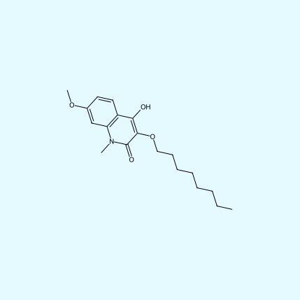 CCCCCCCCOc1c(O)c2ccc(OC)cc2n(C)c1=O